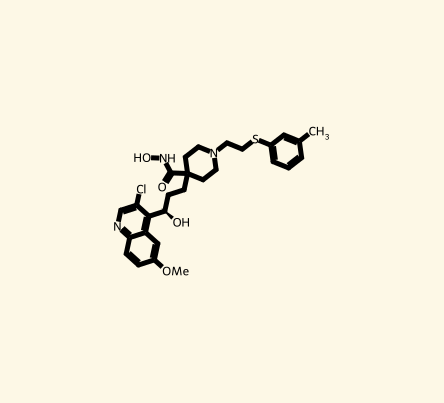 COc1ccc2ncc(Cl)c([C@H](O)CCC3(C(=O)NO)CCN(CCSc4cccc(C)c4)CC3)c2c1